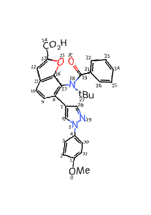 COc1ccc(-n2cc(-c3ccc4cc(C(=O)O)oc4c3N(C(=O)c3ccccc3)C(C)(C)C)cn2)cc1